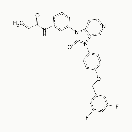 C=CC(=O)Nc1cccc(-n2c(=O)n(-c3ccc(OCc4cc(F)cc(F)c4)cc3)c3cnccc32)c1